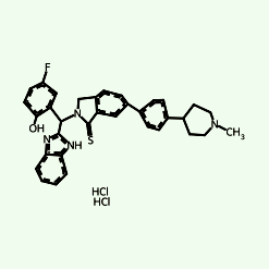 CN1CCC(c2ccc(-c3ccc4c(c3)C(=S)N(C(c3nc5ccccc5[nH]3)c3cc(F)ccc3O)C4)cc2)CC1.Cl.Cl